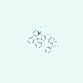 CCOC(=O)C1C2=C(NN1C(c1ccccc1)(c1ccccc1)c1ccccc1)c1nc(Nc3ccccc3)ncc1CC2